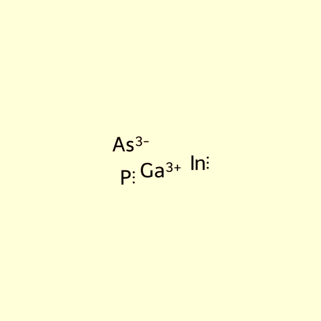 [As-3].[Ga+3].[In].[P]